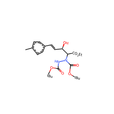 CCOC(=O)C([C@H](O)/C=C/c1ccc(C)cc1)N(NC(=O)OC(C)(C)C)C(=O)OC(C)(C)C